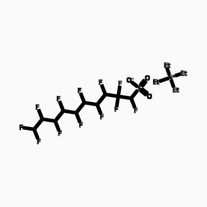 CC[N+](CC)(CC)CC.O=S(=O)([O-])C(F)C(F)(F)C(F)C(F)C(F)C(F)C(F)C(F)C(F)C(F)F